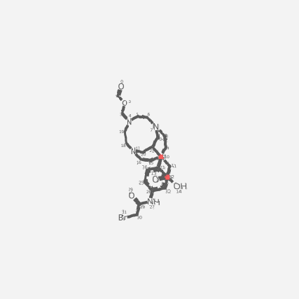 O=COCN1CCN2CCN(CC(=O)O)CCN(CC1)CC(Cc1ccc(NC(=O)CBr)cc1)C2